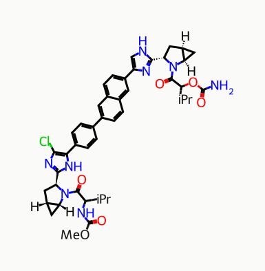 COC(=O)NC(C(=O)N1[C@@H]2C[C@@H]2C[C@H]1c1nc(Cl)c(-c2ccc(-c3ccc4cc(-c5c[nH]c([C@@H]6C[C@H]7C[C@H]7N6C(=O)C(OC(N)=O)C(C)C)n5)ccc4c3)cc2)[nH]1)C(C)C